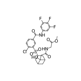 COC(=O)CNC(=O)CC1(O)C2CC1CC(S(=O)(=O)c1cc(C(=O)Nc3cc(F)c(F)c(F)c3)ccc1Cl)C2